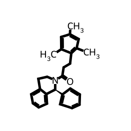 Cc1cc(C)c(CCC(=O)N2CCc3ccccc3[C@@H]2c2ccccc2)c(C)c1